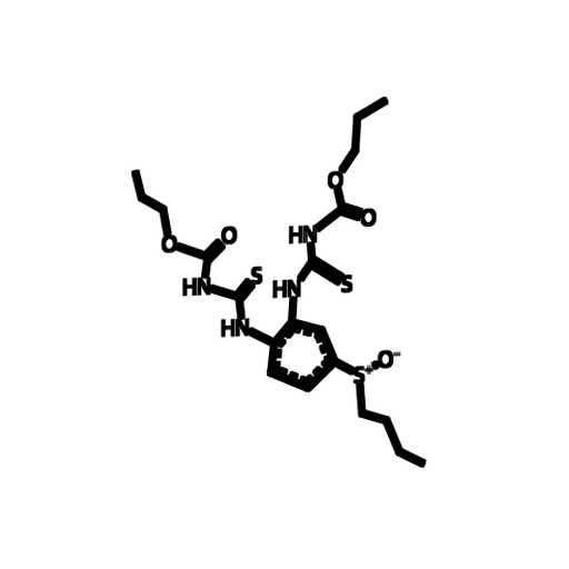 CCCC[S+]([O-])c1ccc(NC(=S)NC(=O)OCCC)c(NC(=S)NC(=O)OCCC)c1